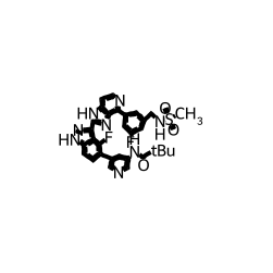 CC(C)(C)C(=O)Nc1cncc(-c2ccc3[nH]nc(-c4nc5c(-c6cc(F)cc(CNS(C)(=O)=O)c6)nccc5[nH]4)c3c2F)c1